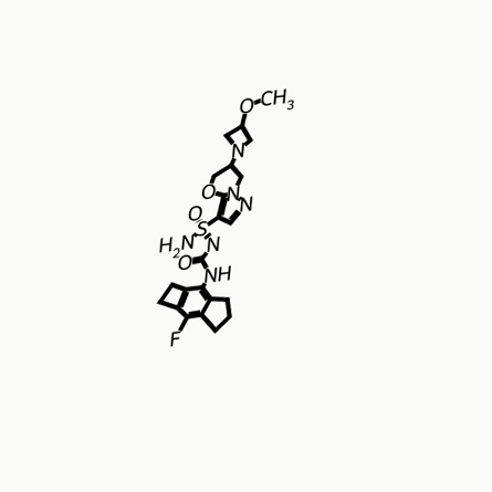 COC1CN(C2COc3c(S(N)(=O)=NC(=O)Nc4c5c(c(F)c6c4CC6)CCC5)cnn3C2)C1